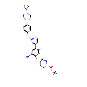 Cc1cc(O[C@H]2CCN(C(=O)OC(C)(C)C)CC2(F)F)c(C#N)cc1-c1ccnc(Nc2ccc(N3CCN(C4COC4)CC3)cc2)n1